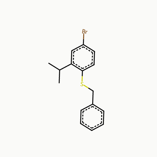 CC(C)c1cc(Br)ccc1SCc1ccccc1